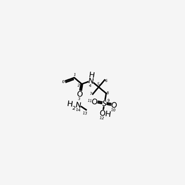 C=CC(=O)NC(C)(C)CS(=O)(=O)O.CN